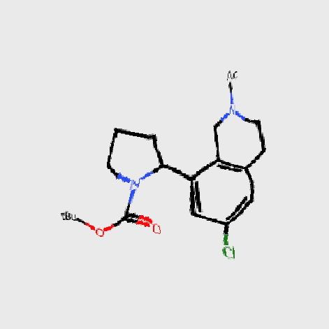 CC(=O)N1CCc2cc(Cl)cc(C3CCCN3C(=O)OC(C)(C)C)c2C1